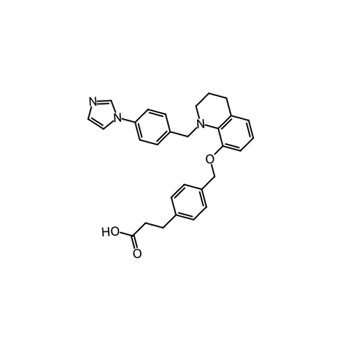 O=C(O)CCc1ccc(COc2cccc3c2N(Cc2ccc(-n4ccnc4)cc2)CCC3)cc1